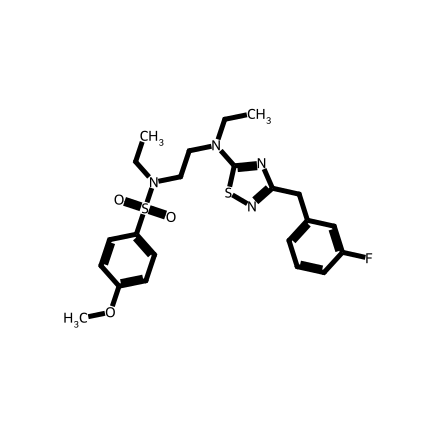 CCN(CCN(CC)S(=O)(=O)c1ccc(OC)cc1)c1nc(Cc2cccc(F)c2)ns1